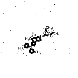 C=CC(=O)OC(COC(=O)C(=C)C)COc1ccc2c(c1)C(C)C(C)c1cc(N(c3cccc(C)c3)c3cccc(C)c3)ccc1-2